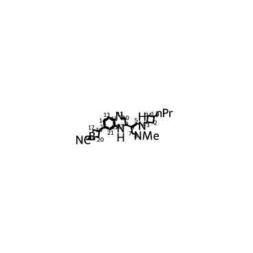 CCCC1CC(N/C=C(\CNC)C2C=Nc3ccc(C4CB(C#N)C4)cc3N2)C1